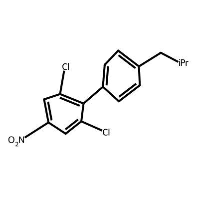 CC(C)Cc1ccc(-c2c(Cl)cc([N+](=O)[O-])cc2Cl)cc1